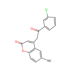 [C-]#[N+]c1ccc2oc(=O)cc(CC(=O)c3cccc(Cl)c3)c2c1